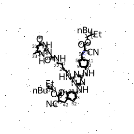 CCCCC(CC)COC(=O)/C(C#N)=C/c1ccc(Nc2nc(NCCCCNC(=O)Nc3nc(=O)cc(C)[nH]3)nc(Nc3ccc(CC(C#N)C(=O)OCC(CC)CCCC)cc3)n2)cc1